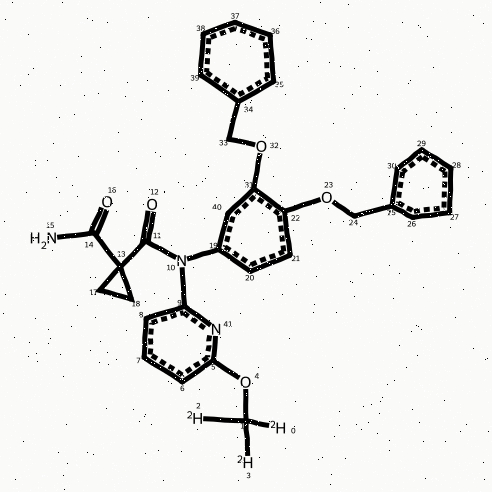 [2H]C([2H])([2H])Oc1cccc(N(C(=O)C2(C(N)=O)CC2)c2ccc(OCc3ccccc3)c(OCc3ccccc3)c2)n1